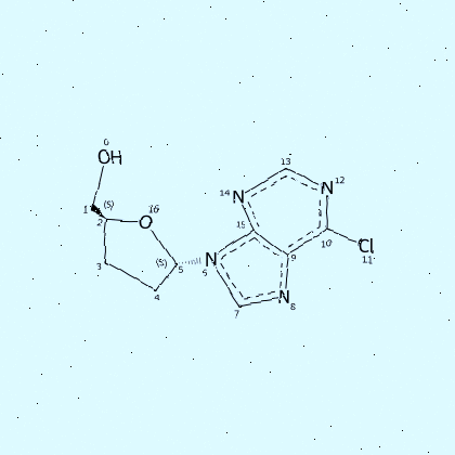 OC[C@@H]1CC[C@@H](n2cnc3c(Cl)ncnc32)O1